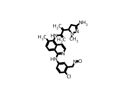 C=C(Nc1c(C)ccc2c(Nc3ccc(Cl)c(CN=O)c3)nccc12)C(=C)C1CC(N)=NN1C